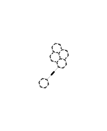 C(#Cc1ccc2ccc3cccc4ccc1c2c34)c1ccccc1